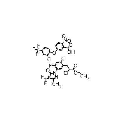 CCOC(=O)C(Cl)Cc1cc(-n2nc(C)n(C(F)F)c2=O)c(F)cc1Cl.O=C(O)c1cc(Oc2ccc(C(F)(F)F)cc2Cl)ccc1[N+](=O)[O-]